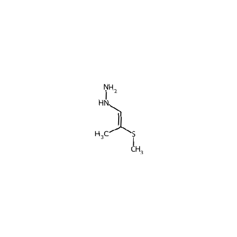 CS/C(C)=C/NN